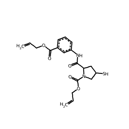 C=CCOC(=O)c1cccc(NC(=O)C2CC(S)CN2C(=O)OCC=C)c1